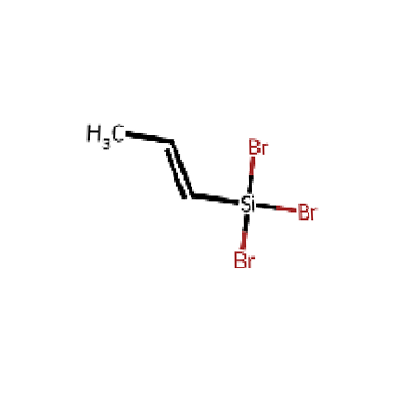 CC=C[Si](Br)(Br)Br